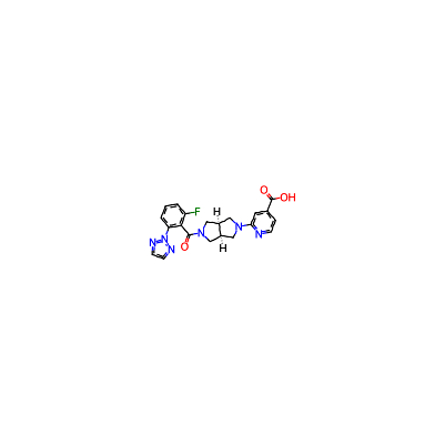 O=C(O)c1ccnc(N2C[C@H]3CN(C(=O)c4c(F)cccc4-n4nccn4)C[C@H]3C2)c1